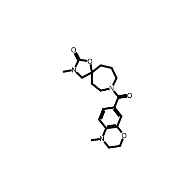 CN1CC2(CCCN(C(=O)c3ccc4c(c3)OCCN4C)CC2)OC1=O